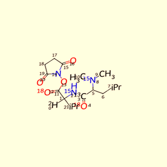 [2H]C([15NH][13C](=[18O])C(CC(C)C)[15N](C)C)(C(=[18O])ON1C(=O)CCC1=O)C(C)C